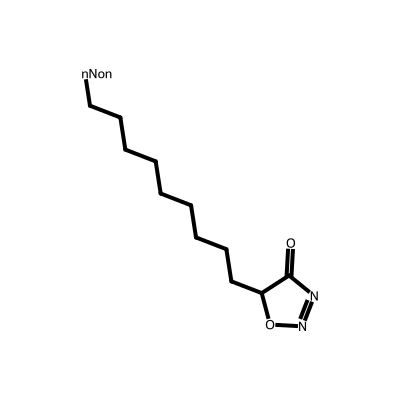 CCCCCCCCCCCCCCCCCCC1ON=NC1=O